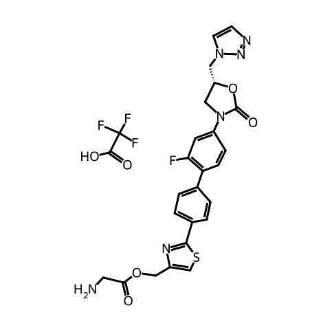 NCC(=O)OCc1csc(-c2ccc(-c3ccc(N4C[C@H](Cn5ccnn5)OC4=O)cc3F)cc2)n1.O=C(O)C(F)(F)F